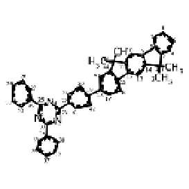 CC1(C)c2ccccc2-c2cc3c(cc21)-c1ccc(-c2ccc(-c4nc(-c5ccccc5)nc(-c5ccccc5)n4)cc2)cc1C3(C)C